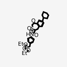 CCOP(=O)(Cc1ccc(NC(=O)C2Cc3ccc(C4CCCCC4)cc3C(=O)CS2(=O)=O)cc1)OCC